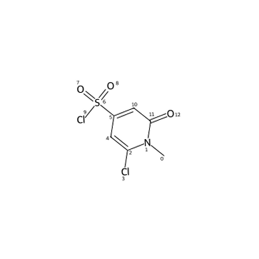 Cn1c(Cl)cc(S(=O)(=O)Cl)cc1=O